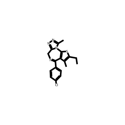 CCc1sc2c(c1C)C(c1ccc(Cl)cc1)=NCc1nnc(C)n1-2